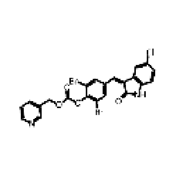 O=C(OCc1cccnc1)Oc1c(Br)cc(C=C2C(=O)Nc3ccc(Cl)cc32)cc1Br